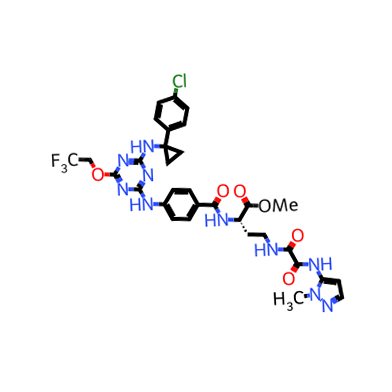 COC(=O)[C@H](CCNC(=O)C(=O)Nc1ccnn1C)NC(=O)c1ccc(Nc2nc(NC3(c4ccc(Cl)cc4)CC3)nc(OCC(F)(F)F)n2)cc1